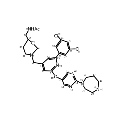 CC(=O)NCC1CCN(Cc2cc(Oc3cnc(N4CCCNCC4)nc3)nc(-c3cc(Cl)cc(Cl)c3)c2)CC1